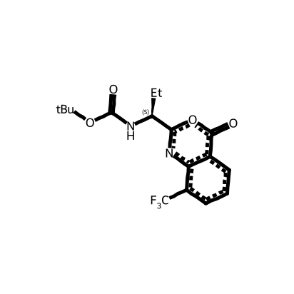 CC[C@H](NC(=O)OC(C)(C)C)c1nc2c(C(F)(F)F)cccc2c(=O)o1